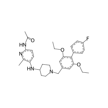 CCOc1cc(CN2CCC(Nc3ccc(NC(C)=O)nc3C)CC2)cc(OCC)c1-c1ccc(F)cc1